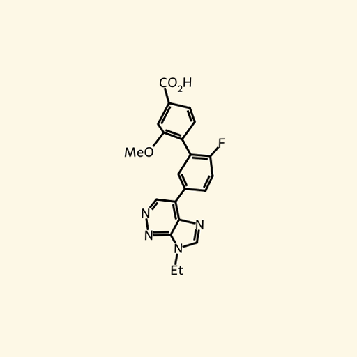 CCn1cnc2c(-c3ccc(F)c(-c4ccc(C(=O)O)cc4OC)c3)cnnc21